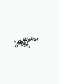 CCOc1c(C(=O)NC2CCN(C(=O)CO)CC2)n(C)c2nc(C)n(CC(=O)c3ccccc3)c(=O)c12